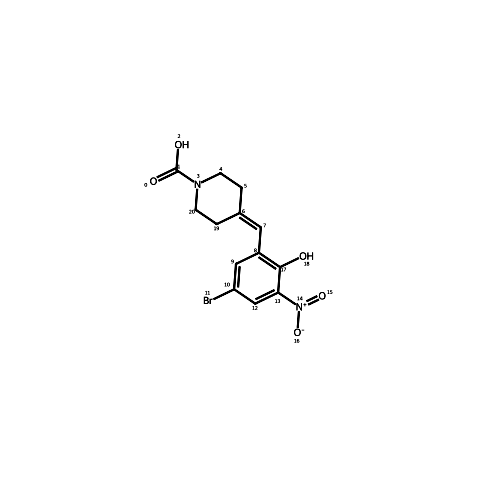 O=C(O)N1CCC(=Cc2cc(Br)cc([N+](=O)[O-])c2O)CC1